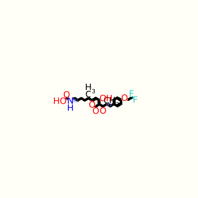 C/C(=C\c1ccc(OCC(F)F)cc1)C(=O)c1c(O)cc(C(C)CC/C=C/NC(=O)O)oc1=O